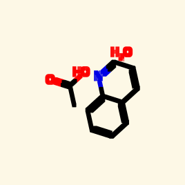 CC(=O)O.O.c1ccc2ncccc2c1